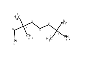 CCCC(C)(P)CCCC(C)(C)CC(C)C